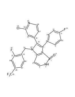 O=c1[nH]ccc2c1c(-c1ccc(F)cc1)c(-c1ccnc(Cl)c1)n2Cc1ccc(C(F)(F)F)cc1F